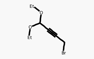 CCOC(C#CCBr)OCC